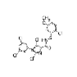 COc1ccc(Cl)c(SNC(=O)c2nc(Cl)n(-c3cc(Cl)cc(Cl)c3)c2Cl)c1